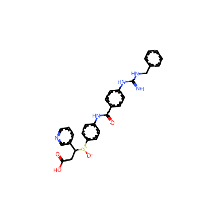 N=C(NCc1ccccc1)Nc1ccc(C(=O)Nc2ccc([S+]([O-])C(CC(=O)O)c3cccnc3)cc2)cc1